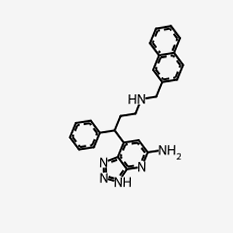 Nc1cc(C(CCNCc2ccc3ccccc3c2)c2ccccc2)c2nn[nH]c2n1